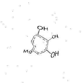 Oc1cccc(O)c1O.[Mg]